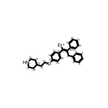 CCC(=C(Cc1ccccc1)c1ccccc1)c1ccc(OCCC2CCNCC2)cc1